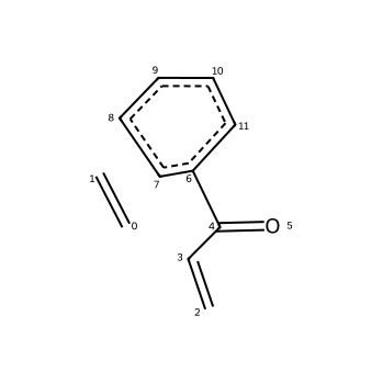 C=C.C=CC(=O)c1ccccc1